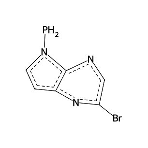 Pn1ccc2nc(Br)cnc21